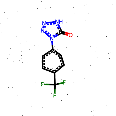 O=c1[nH]nnn1-c1ccc(C(F)(F)F)cc1